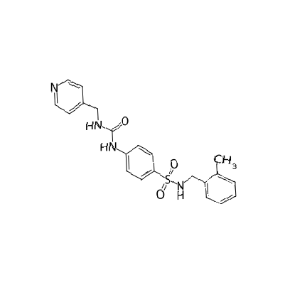 Cc1ccccc1CNS(=O)(=O)c1ccc(NC(=O)NCc2ccncc2)cc1